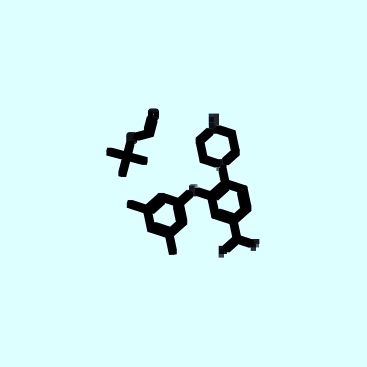 CC(C)(C)OC=O.Cc1cc(C)cc(Sc2cc(C(F)F)ccc2N2CCNCC2)c1